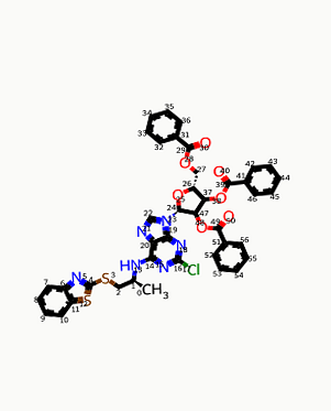 C[C@@H](CSc1nc2ccccc2s1)Nc1nc(Cl)nc2c1ncn2[C@@H]1O[C@H](COC(=O)c2ccccc2)C(OC(=O)c2ccccc2)C1OC(=O)c1ccccc1